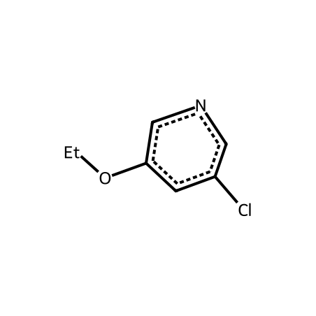 [CH2]COc1cncc(Cl)c1